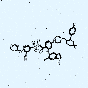 CC1(C)CCC(CN2CCN(c3ccc(C(=O)NS(=O)(=O)c4cnc(OC5CCOCC5)c(C#N)c4)c(Oc4cc5cc[nH]c5cc4F)c3)CC2)=C(c2ccc(Cl)cc2)C1